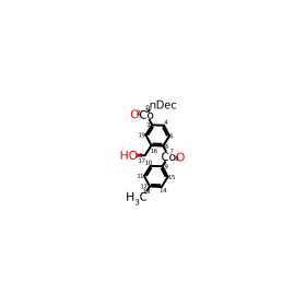 CCCCCCCCC[CH2][Co](=[O])[c]1cc[c]([Co](=[O])[c]2ccc(C)cc2)c(CO)c1